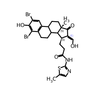 Cc1cnc(NC(=O)CC[C@@H]2/C(=C\O)C(=O)[C@@]3(C)CCC4c5cc(Br)c(O)c(Br)c5CCC4C23)s1